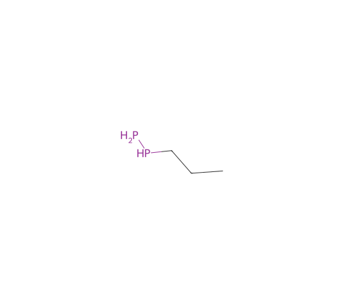 CCCPP